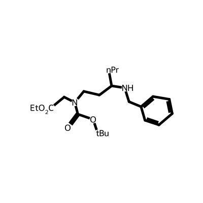 CCCC(CCN(CC(=O)OCC)C(=O)OC(C)(C)C)NCc1ccccc1